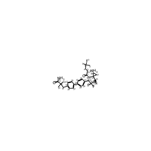 CC(C)(F)C[C@H](N)C(=O)N([C@@H](c1ccc(-c2ccc(CC(C)(C)C(N)=O)cc2)cc1)C(F)(F)F)C1(C#N)CC1